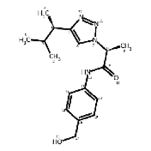 CC(C)[C@@H](C)c1cn([C@@H](C)C(=O)Nc2ccc(CO)cc2)nn1